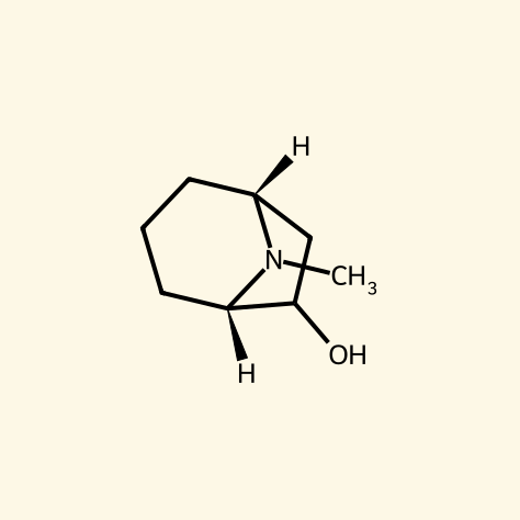 CN1[C@@H]2CCC[C@H]1C(O)C2